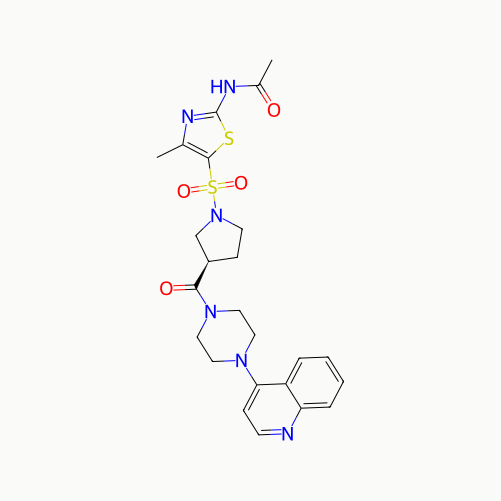 CC(=O)Nc1nc(C)c(S(=O)(=O)N2CC[C@@H](C(=O)N3CCN(c4ccnc5ccccc45)CC3)C2)s1